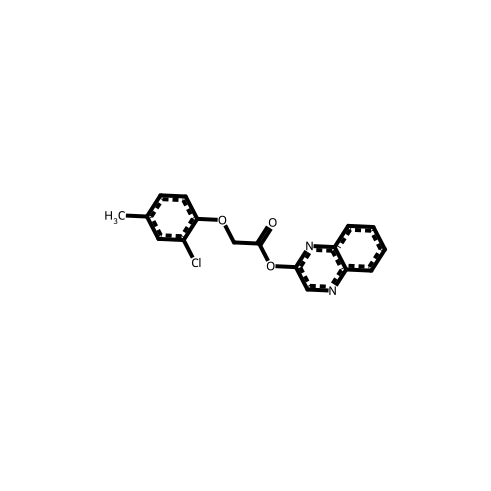 Cc1ccc(OCC(=O)Oc2cnc3ccccc3n2)c(Cl)c1